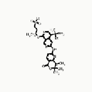 CCC(C)(N)c1cnc(O[C@@H](C)CCS(=O)(=O)CC)c2cnc(Nc3ccc4c(n3)[C@@H](C)C(C)(C)OC4=O)cc12